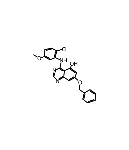 COc1ccc(Cl)c(Nc2ncnc3cc(OCc4ccccc4)cc(O)c23)c1